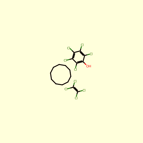 C1CCCCCCCCC1.ClC(Cl)=C(Cl)Cl.Oc1c(Cl)c(Cl)c(Cl)c(Cl)c1Cl